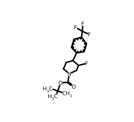 CC(C)(C)OC(=O)N1CCC(c2ccc(C(F)(F)F)cc2)C(F)C1